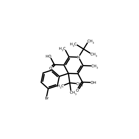 CC1=C(C(=O)O)C(c2cccc(Br)c2)(C(C)(C)C)C(C(=O)O)=C(C)N1C(C)(C)C